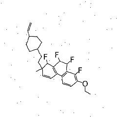 C=CC1CCC(CCC2(C)C=CC3=C(C(F)C(F)c4c3ccc(OCC)c4F)C2F)CC1